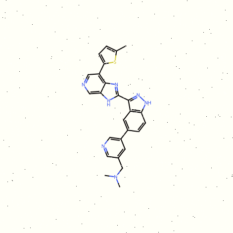 Cc1ccc(-c2cncc3[nH]c(-c4n[nH]c5ccc(-c6cncc(CN(C)C)c6)cc45)nc23)s1